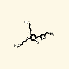 CCCCOc1cc(-c2cc(CN)on2)[n+]([O-])cc1OCCCC